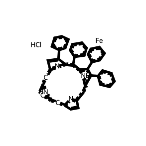 C1=Cc2cc3[nH]c(c(-c4ccccc4)c4nc(cc5ccc(cc1n2)[nH]5)C=C4c1ccccc1)c(-c1ccccc1)c3-c1ccccc1.Cl.[Fe]